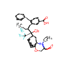 CC(c1cc(C(=O)O)ccc1-c1ccccc1)C(O)(c1ccc2c(c1)N(C)C(=O)CO2)C(F)(F)F